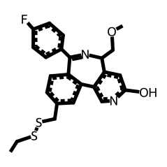 CCSSCc1ccc2c(c1)-c1cnc(O)cc1C(COC)N=C2c1ccc(F)cc1